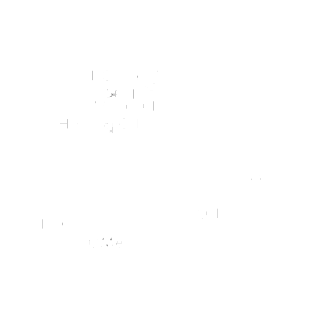 COc1cc(CCC[Si](C)(C)O[Si](C)(C)O[Si](C)(C)CCCc2ccc(O)c(CO)c2)ccc1O